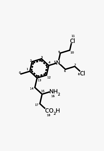 Cc1ccc(N(CCCl)CCCl)cc1CC(N)CC(=O)O